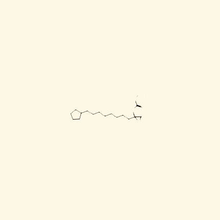 COC(=O)OC1(CCCCCCCCC2CCCC2)CO1